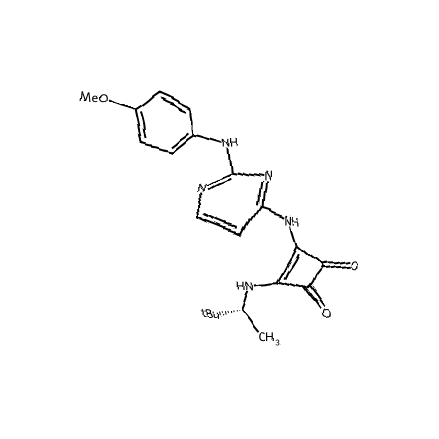 COc1ccc(Nc2nccc(Nc3c(N[C@H](C)C(C)(C)C)c(=O)c3=O)n2)cc1